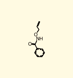 C=CCONC(=O)c1ccccc1